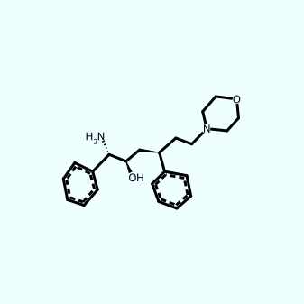 N[C@@H](c1ccccc1)[C@H](O)C[C@@H](CCN1CCOCC1)c1ccccc1